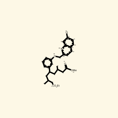 CCOC(=O)CC(C)CC(CC(C)CC(=O)OC)c1cccc(OCc2ccc3ccc(Cl)cc3n2)c1